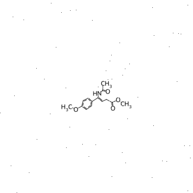 COC(=O)CC=C(NC(C)=O)c1ccc(OC)cc1